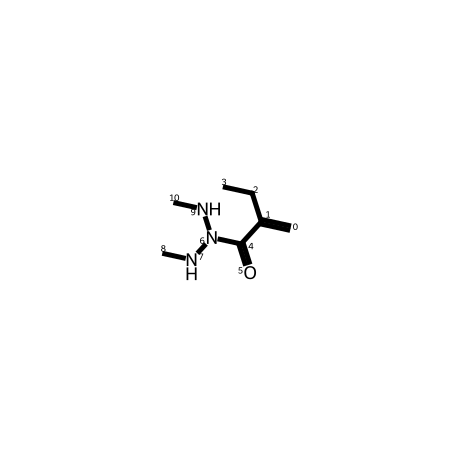 C=C(CC)C(=O)N(NC)NC